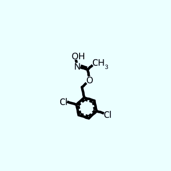 CC(=NO)OCc1cc(Cl)ccc1Cl